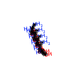 COc1ccc(NC(=O)[C@H](CCCCN)NC(=O)c2cc(NC(=O)[C@H](CCCCN)NC(=O)c3cc(NC(=O)[C@H](CCCCN)NC(=O)c4cc(NC(=O)[C@@H](N)CCCCN)ccc4OC)ccc3OC)ccc2OC)cc1C(=O)N[C@@H](Cc1ccc(O)cc1)C(=O)O